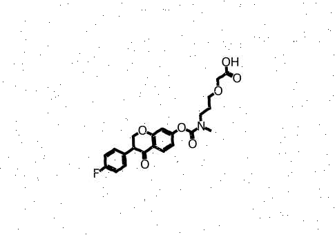 CN(CCCOCC(=O)O)C(=O)Oc1ccc2c(c1)OCC(c1ccc(F)cc1)C2=O